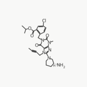 CC#CCn1c(N2CCC[C@@H](N)C2)nc2c1c(=O)n(Cc1ccc(Cl)cc1C(=O)OC(C)C)c(=O)n2C